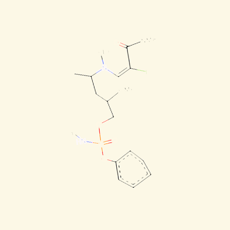 CNC(=O)/C(F)=C\N(C=O)C(C)CC(COP(=O)(NC(C)C)Oc1ccccc1)OC